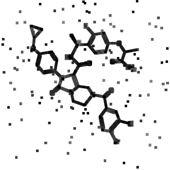 CC(Oc1ccc([C@H](C)NC(=O)c2c3n(c(=O)n2-c2ccc(OC4CC4)cc2)CCN(C(=O)c2ccc(Br)c(Cl)c2)C3)c(F)c1)C(N)=O